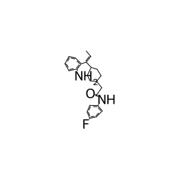 C/C=C(\c1ccccc1N)C1CCC(CC(=O)Nc2ccc(F)cc2)CC1